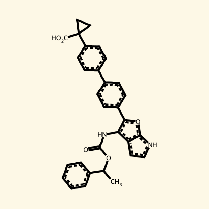 CC(OC(=O)Nc1c(-c2ccc(-c3ccc(C4(C(=O)O)CC4)cc3)cc2)oc2[nH]ccc12)c1ccccc1